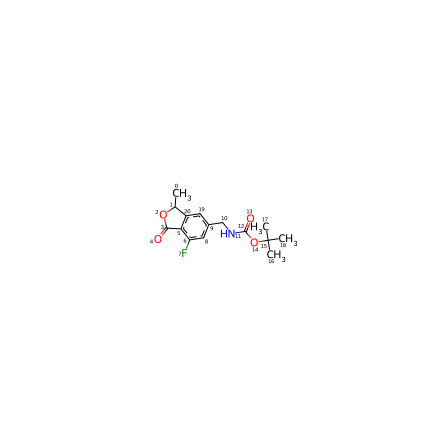 CC1OC(=O)c2c(F)cc(CNC(=O)OC(C)(C)C)cc21